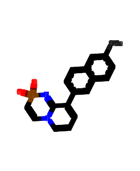 COc1ccc2cc(C3=CC=CN4C=CS(=O)(=O)N=C34)ccc2c1